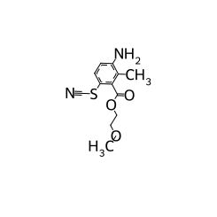 COCCOC(=O)c1c(SC#N)ccc(N)c1C